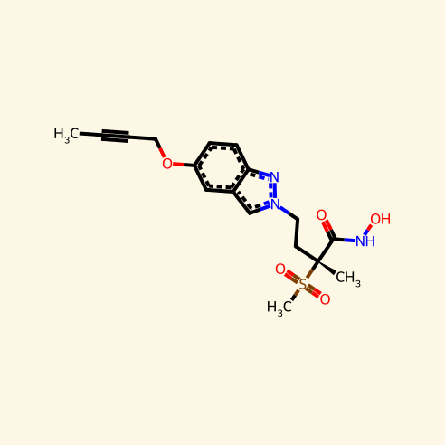 CC#CCOc1ccc2nn(CC[C@](C)(C(=O)NO)S(C)(=O)=O)cc2c1